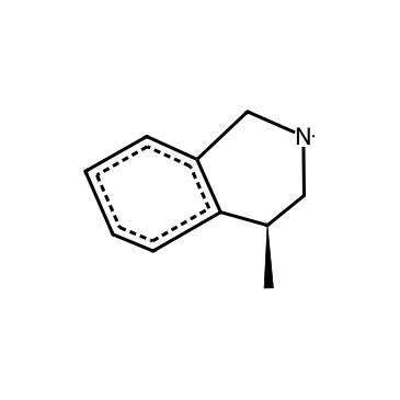 C[C@@H]1C[N]Cc2ccccc21